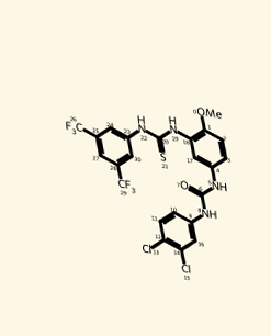 COc1ccc(NC(=O)Nc2ccc(Cl)c(Cl)c2)cc1NC(=S)Nc1cc(C(F)(F)F)cc(C(F)(F)F)c1